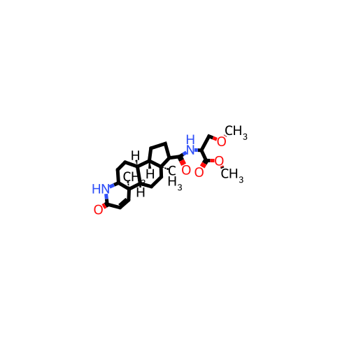 COCC(NC(=O)C1CC[C@H]2[C@@H]3CCC4NC(=O)C=C[C@]4(C)[C@@H]3CC[C@]12C)C(=O)OC